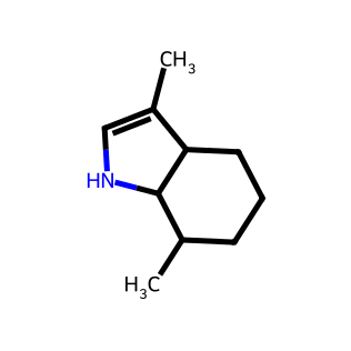 CC1=CNC2C(C)CCCC12